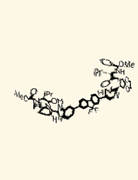 COC(=O)N[C@H](C(=O)N1CC2(C[C@H]1c1ncc(-c3ccc4c(c3)C(F)(F)c3cc(-c5ccc6nc(C7[C@H]8CC[C@H](C8)N7C(=O)[C@@H](NC(=O)OC)C(C)C)[nH]c6c5)ccc3-4)[nH]1)OCCO2)C(C)C